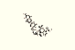 COC(=O)c1ccc2nc(CN3CCC(Oc4cccc(COc5ccc(Cl)cc5Cl)n4)CC3)n(C[C@@H]3CCO3)c2c1